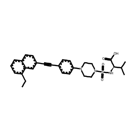 CCc1cccc2ccc(C#Cc3ccc(N4CCN(S(=O)(=O)N[C@@H](C(=O)O)C(C)C)CC4)cc3)cc12